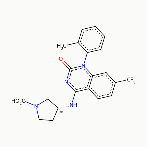 Cc1ccccc1-n1c(=O)nc(N[C@@H]2CCN(C(=O)O)C2)c2ccc(C(F)(F)F)cc21